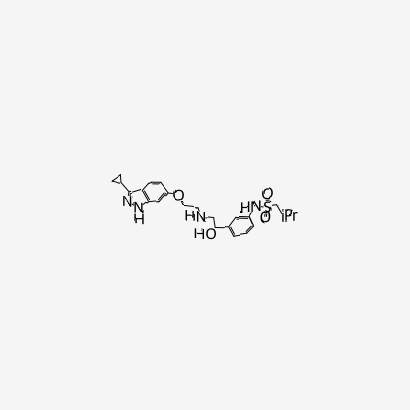 CC(C)CS(=O)(=O)Nc1cccc(C(O)CNCCOc2ccc3c(C4CC4)n[nH]c3c2)c1